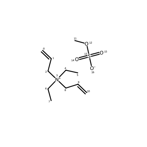 C=CC[N+](CC)(CC)CC=C.COS(=O)(=O)[O-]